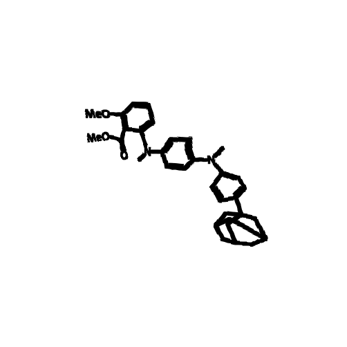 COC(=O)c1c(OC)cccc1N(C)c1ccc(N(C)c2ccc(C34CC5CC(CC(C5)C3)C4)cc2)cc1